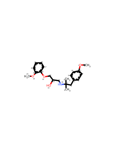 COc1ccc(CC(C)(C)NCC(O)COc2ccccc2OC)cc1